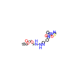 CC(C)(CNCCNc1ccc(-c2ccc3c(c2)C(=O)N(C(C(=O)Nc2nccs2)c2ccccc2)C3)cn1)COC(C)(C)CC(=O)OC(C)(C)C